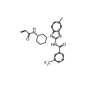 C=CC(=O)N[C@@H]1CCC[C@@H](n2c(NC(=O)c3cccc(C(F)(F)F)c3)nc3cc(C)ccc32)C1